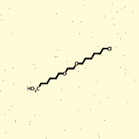 O=C(O)CCCCCOCCOCCCCCCCl